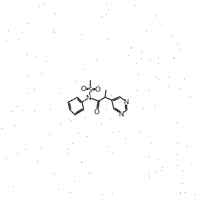 CC(C(=O)N(c1ccccc1)S(C)(=O)=O)c1cncnc1